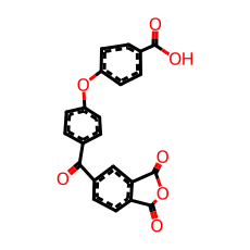 O=C(O)c1ccc(Oc2ccc(C(=O)c3ccc4c(c3)C(=O)OC4=O)cc2)cc1